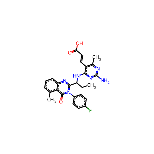 CCC(Nc1nc(N)nc(C)c1/C=C/C(=O)O)c1nc2cccc(C)c2c(=O)n1-c1ccc(F)cc1